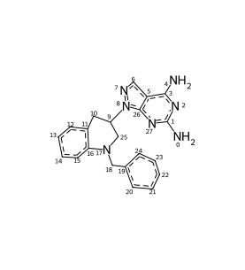 Nc1nc(N)c2cnn(C3Cc4ccccc4N(Cc4ccccc4)C3)c2n1